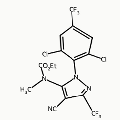 CCOC(=O)N(C)c1c(C#N)c(C(F)(F)F)nn1-c1c(Cl)cc(C(F)(F)F)cc1Cl